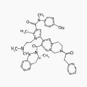 Cc1c(C(=O)N(C)c2ccc(O)cc2)cc(-c2cc3c(cc2C(=O)N2Cc4ccccc4C[C@H]2C)CN(C(=O)Cc2ccccc2)CC3)n1CCN(C)C